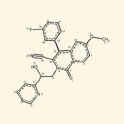 COc1ccc2c(=O)n(CC(O)c3ccccn3)c(C#N)c(-c3cccc(F)c3)c2c1